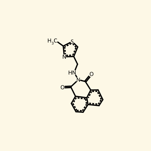 Cc1nc(CNN2C(=O)c3cccc4cccc(c34)C2=O)cs1